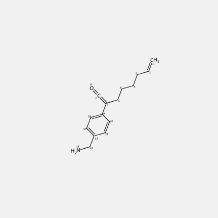 C=CCCCCC(=C=O)c1ccc(CN)cc1